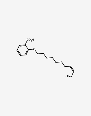 CCCCCC/C=C\CCCCCCCOc1ccccc1C(=O)O